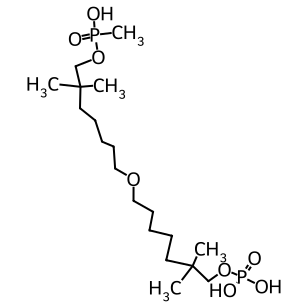 CC(C)(CCCCCOCCCCCC(C)(C)COP(=O)(O)O)COP(C)(=O)O